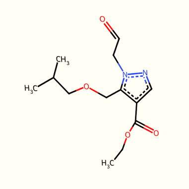 CCOC(=O)c1cnn(CC=O)c1COCC(C)C